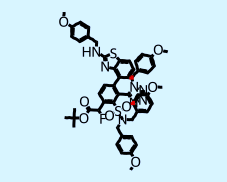 COc1ccc(CNc2nc3c(-c4ccc(C(F)C(=O)OC(C)(C)C)c(S(=O)(=O)N(Cc5ccc(OC)cc5)Cc5ccc(OC)cc5)c4-c4nnnn4Cc4ccc(OC)cc4)cccc3s2)cc1